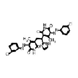 CC1=C(CC(C2=C(C)C(N=Nc3cccc(Cl)c3)C(=O)NC2=O)c2ncc[nH]2)C(=O)NC(=O)C1N=Nc1cccc(Cl)c1